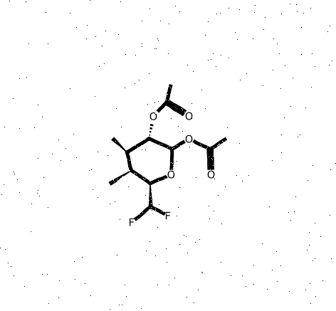 CC(=O)OC1O[C@@H](C(F)F)[C@@H](C)[C@@H](C)[C@@H]1OC(C)=O